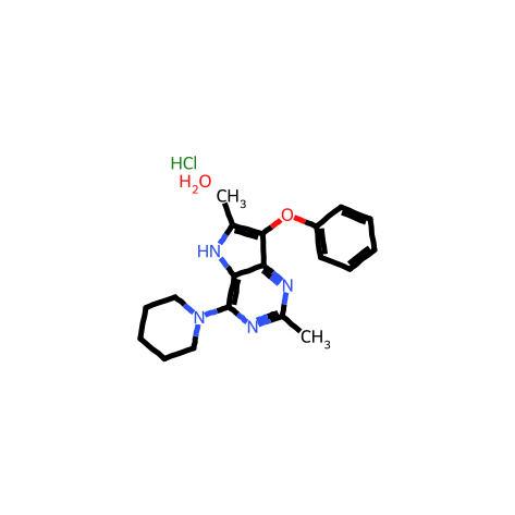 Cc1nc(N2CCCCC2)c2[nH]c(C)c(Oc3ccccc3)c2n1.Cl.O